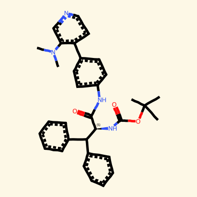 CN(C)c1cnccc1-c1ccc(NC(=O)[C@@H](NC(=O)OC(C)(C)C)C(c2ccccc2)c2ccccc2)cc1